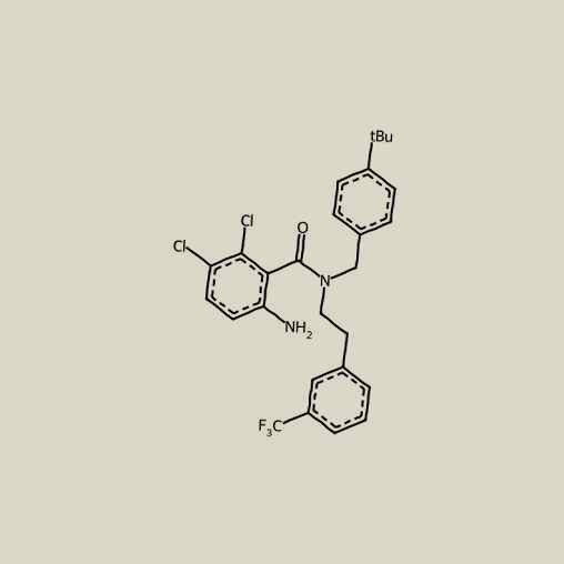 CC(C)(C)c1ccc(CN(CCc2cccc(C(F)(F)F)c2)C(=O)c2c(N)ccc(Cl)c2Cl)cc1